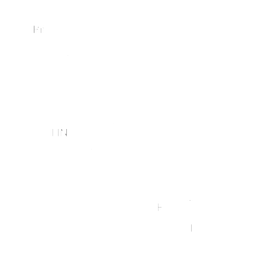 FC(F)(F)Cc1ccc2[nH]c3cc(Br)ccc3c2c1